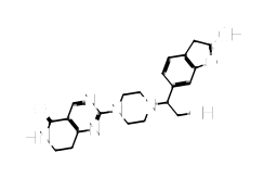 CCC(c1ccc2c(c1)O[C@@H](C)C2)N1CCN(c2ncc3c(n2)CCNC3=O)CC1